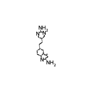 Nc1ncc(C=Cc2ccc3nc(N)sc3c2)cn1